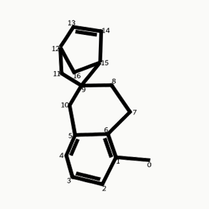 Cc1cccc2c1CCC1(C2)CC2C=CC1C2